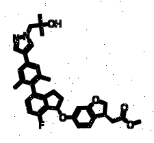 COC(=O)C[C@@H]1COc2cc(O[C@@H]3CCc4c(-c5c(C)cc(-c6cnn(CC(C)(C)O)c6)cc5C)ccc(F)c43)ccc21